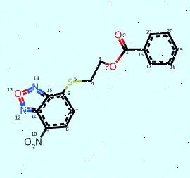 O=C(OCCSc1ccc([N+](=O)[O-])c2nonc12)c1ccccc1